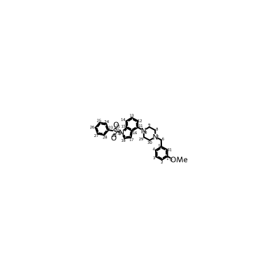 COc1cccc(CN2CCN(c3cccc4c3ccn4S(=O)(=O)c3ccccc3)CC2)c1